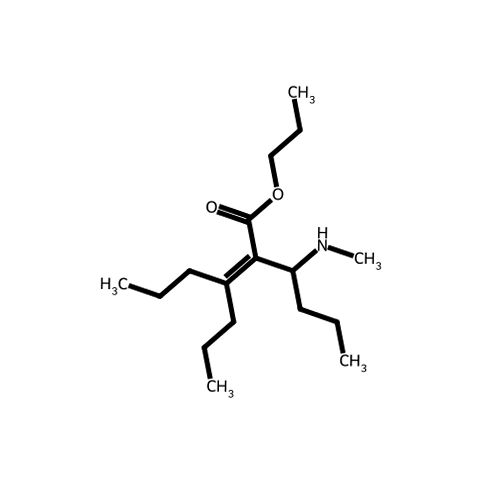 CCCOC(=O)C(=C(CCC)CCC)C(CCC)NC